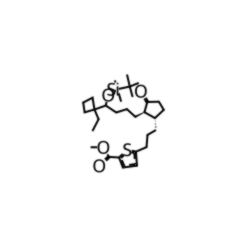 CCC1(C(CCC[C@H]2C(=O)CC[C@@H]2CCCc2ccc(C(=O)OC)s2)O[Si](C)(C)C(C)(C)C)CCC1